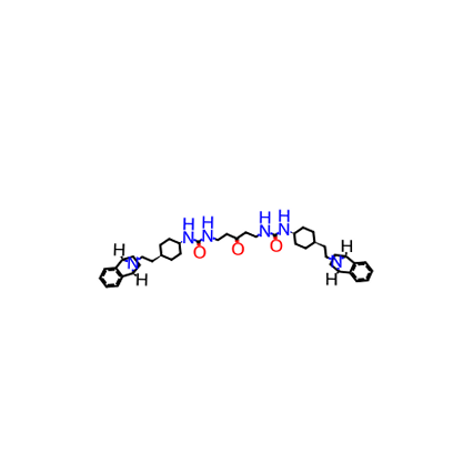 O=C(CCNC(=O)N[C@H]1CC[C@H](CCN2[C@@H]3CC[C@H]2c2ccccc23)CC1)CCNC(=O)N[C@H]1CC[C@H](CCN2[C@@H]3CC[C@H]2c2ccccc23)CC1